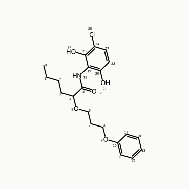 CCCCC(OCCCOc1ccccc1)C(=O)Nc1c(O)ccc(Cl)c1O